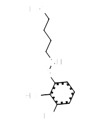 CCCCCNOc1cccc(C)c1C